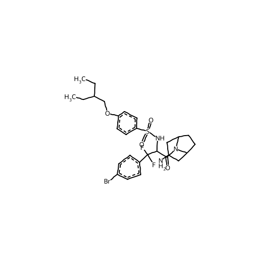 CCC(CC)COc1ccc(S(=O)(=O)NC(C(=O)N2C3CCC2CC(N)C3)C(F)(F)c2ccc(Br)cc2)cc1